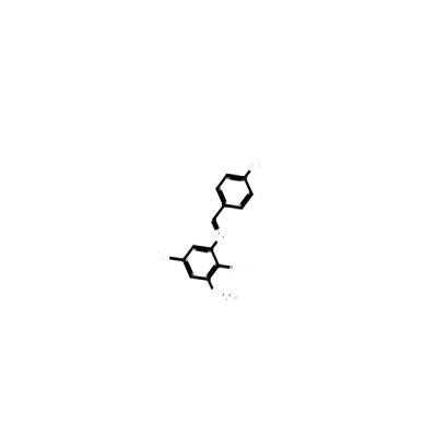 COc1cc(Br)cc(/N=C/c2ccc(Cl)cc2)c1O